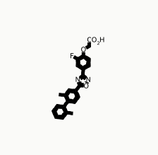 Cc1ccccc1-c1ccc(-c2nc(-c3ccc(OCC(=O)O)c(F)c3)no2)cc1C